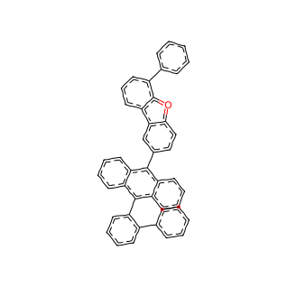 c1ccc(-c2ccccc2-c2c3ccccc3c(-c3ccc4oc5c(-c6ccccc6)cccc5c4c3)c3ccccc23)cc1